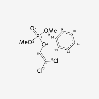 COP(=O)(OC)OC=C(Cl)Cl.c1ccccc1